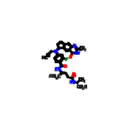 C#CCN(c1ccc(C(=O)N[C@@H](CCC(=O)N[C@H](C)C(=O)O)C(=O)O)c(F)c1)C1CCc2cc3nc(C)[nH]c(=O)c3cc21